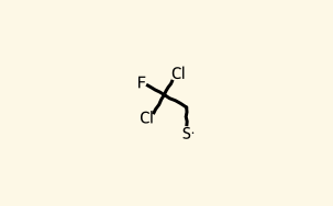 FC(Cl)(Cl)C[S]